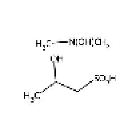 CC(O)CS(=O)(=O)O.CN(C)O